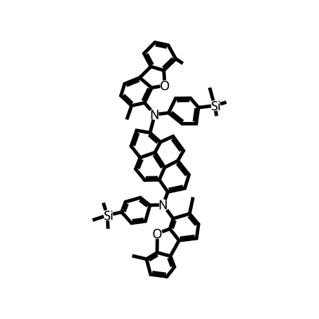 Cc1ccc2c(oc3c(C)cccc32)c1N(c1ccc([Si](C)(C)C)cc1)c1ccc2ccc3c(N(c4ccc([Si](C)(C)C)cc4)c4c(C)ccc5c4oc4c(C)cccc45)ccc4ccc1c2c43